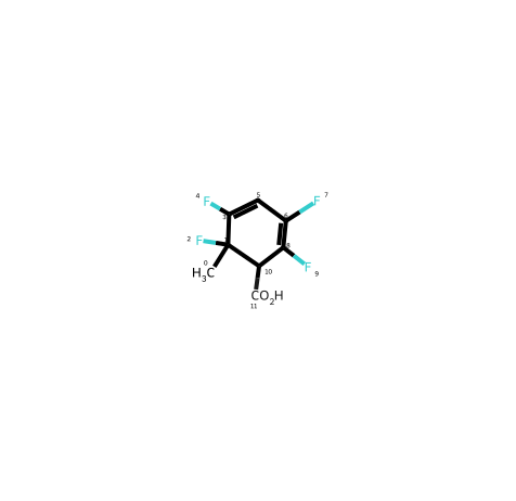 CC1(F)C(F)=CC(F)=C(F)C1C(=O)O